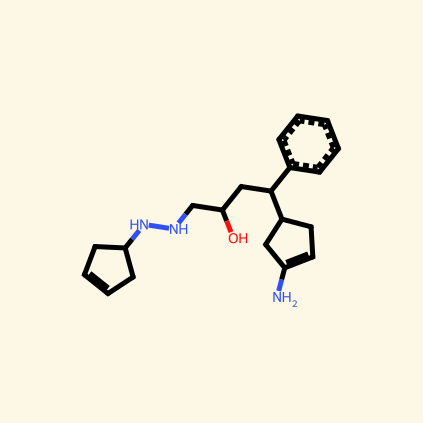 NC1=CCC(C(CC(O)CNNC2CC=CC2)c2ccccc2)C1